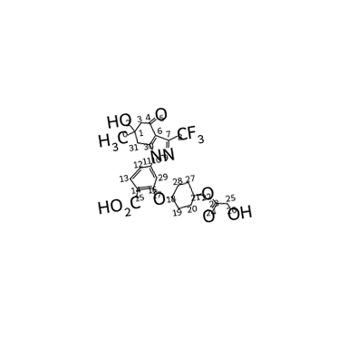 CC1(O)CC(=O)c2c(C(F)(F)F)nn(-c3ccc(C(=O)O)c(O[C@H]4CC[C@H](OC(=O)CO)CC4)c3)c2C1